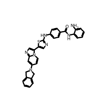 Nc1ccccc1NC(=O)c1ccc(Nc2ncc(-c3cnc4cc(N5Cc6ccccc6C5)ccn34)s2)cc1